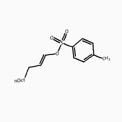 CCCCCCCCCC=COS(=O)(=O)c1ccc(C)cc1